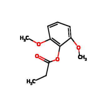 CCC(=O)Oc1c(OC)cccc1OC